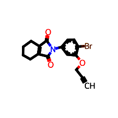 C#CCOc1cc(N2C(=O)C3=C(CCCC3)C2=O)ccc1Br